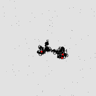 C[C@@H]1COCCN1C[C@H]1CN(C(=O)OC(C)(C)C)[C@H](C)CN1CC(=O)N1C[C@@](C)(C(=O)NCCCC(=O)Nc2ccc3c(c2)[C@@H](C(=O)Nc2c(F)cccc2F)N(C(=O)[C@@H](NC(=O)[C@H](C)N(C)C(=O)OC(C)(C)C)C2CCOCC2)C3)c2ccc(Cc3ccc(F)cc3)cc21